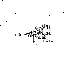 CCCCCCCCCCCCC(C)CN(CCN(C)CCN(CC(O)CCCCCCCCCCCC)CC(O)C(C)CCCCCCCCCC)CC(O)C(C)CCCCCCCCCC